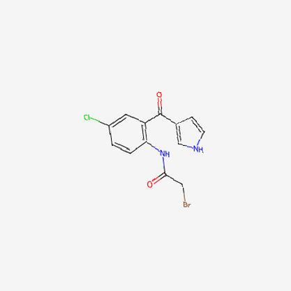 O=C(CBr)Nc1ccc(Cl)cc1C(=O)c1cc[nH]c1